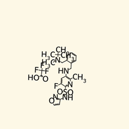 Cc1nc(S(=O)(=O)Nc2ccon2)c(F)cc1NCc1ccccc1CN(C)C(C)(C)C.O=C(O)C(F)(F)F